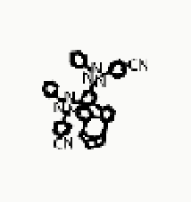 N#Cc1ccc(-c2nc(-c3ccccc3)nc(-c3cc(-c4nc(-c5ccccc5)nc(-c5ccc(C#N)cc5)n4)cc(-c4cccc5c4-c4ccccc4C4CC6CC7CC5CC67C4)c3)n2)cc1